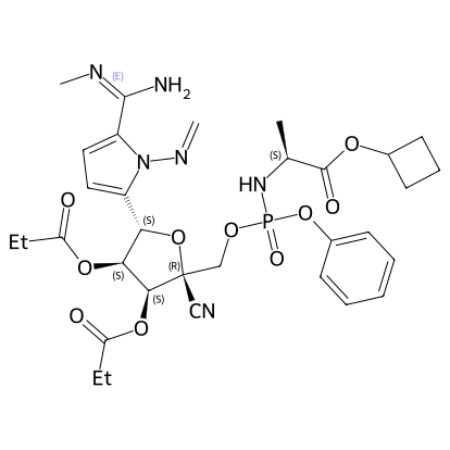 C=Nn1c(/C(N)=N\C)ccc1[C@@H]1O[C@](C#N)(COP(=O)(N[C@@H](C)C(=O)OC2CCC2)Oc2ccccc2)[C@@H](OC(=O)CC)[C@H]1OC(=O)CC